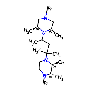 CC(C)N1C[C@@H](C)N(C(C)CC(C)(C)N2CCN(C(C)C)[C@@H](C)[C@@H]2C)[C@@H](C)C1